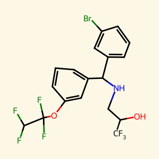 OC(CNC(c1cccc(Br)c1)c1cccc(OC(F)(F)C(F)F)c1)C(F)(F)F